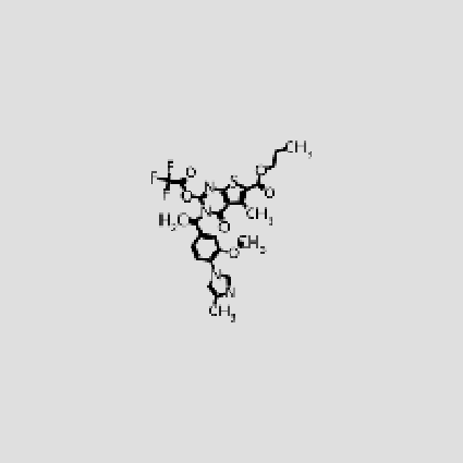 C=C(c1ccc(-n2cnc(C)c2)c(OC)c1)n1c(OC(=O)C(F)(F)F)nc2sc(C(=O)OCCC)c(C)c2c1=O